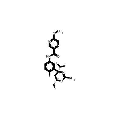 COc1cnc(C(=O)Nc2ccc(F)c([C@]3(C(F)F)C[C@@H](CF)OC(N)=N3)c2)cn1